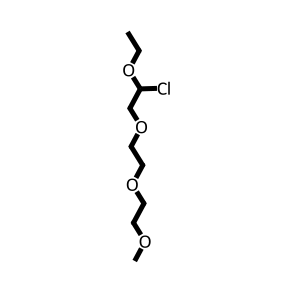 CCOC(Cl)COCCOCCOC